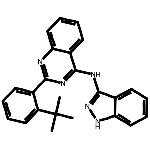 CC(C)(C)c1ccccc1-c1nc(Nc2n[nH]c3ccccc23)c2ccccc2n1